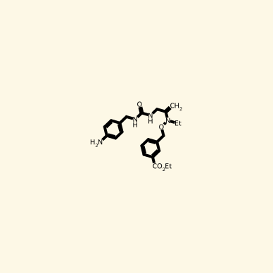 C=C(CNC(=O)NCc1ccc(N)cc1)N(CC)OCc1cccc(C(=O)OCC)c1